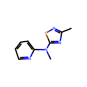 Cc1nsc(N(C)c2ccccn2)n1